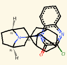 O=c1c(Cl)nc2ccccc2n1[C@H]1C[C@H]2CC[C@@H](C1)N2C12CC3CC(CC1C3)C2